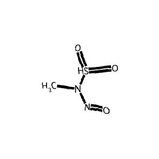 CN(N=O)[SH](=O)=O